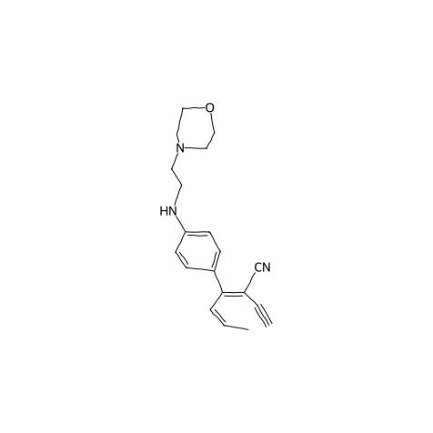 C#C/C(C#N)=C(\C=C/C)c1ccc(NCCN2CCOCC2)cc1